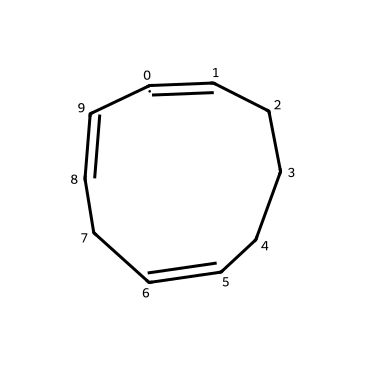 [C]1=CCCCC=CCC=C1